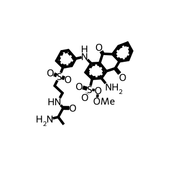 COOS(=O)(=O)c1cc(Nc2cccc(S(=O)(=O)CCNC(=O)C(C)N)c2)c2c(c1N)C(=O)c1ccccc1C2=O